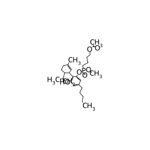 C=C(C)C1CCC(C)=CC1c1c(O)cc(CCCCC)cc1OP(=O)(CCCCOC(C)=O)OC